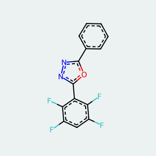 Fc1cc(F)c(F)c(-c2nnc(-c3ccccc3)o2)c1F